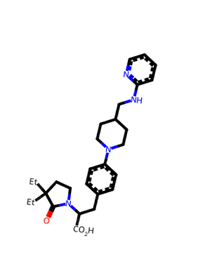 CCC1(CC)CCN(C(Cc2ccc(N3CCC(CNc4ccccn4)CC3)cc2)C(=O)O)C1=O